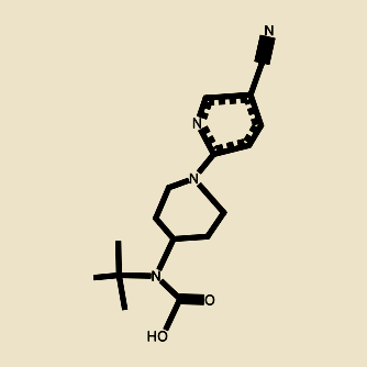 CC(C)(C)N(C(=O)O)C1CCN(c2ccc(C#N)cn2)CC1